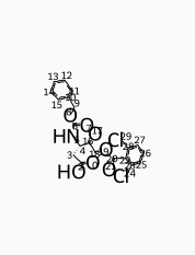 O=C(O)C[C@H](NC(=O)OCc1ccccc1)C(=O)COC(=O)c1c(Cl)cccc1Cl